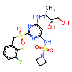 C[C@@H](Nc1cc(NS(=O)(=O)N2CCC2)nc(S(=O)(=O)Cc2cccc(F)c2F)n1)[C@@H](O)CO